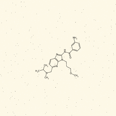 COCCCn1c(NC(=O)c2cccc(N)c2)nc2ccc(CN(C)C(C)C)nc21